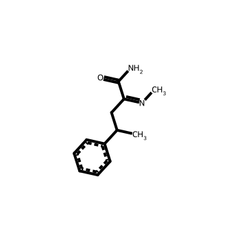 CN=C(CC(C)c1ccccc1)C(N)=O